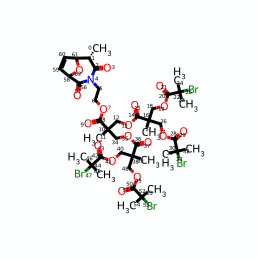 C[C@@H]1C(=O)N(CCOC(=O)C(C)(COC(=O)C(C)(COC(=O)C(C)(C)Br)COC(=O)C(C)(C)Br)COC(=O)C(C)(COC(=O)C(C)(C)Br)COC(=O)C(C)(C)Br)C(=O)C2C=CC1O2